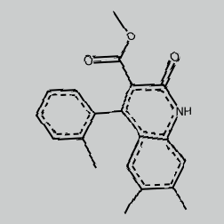 COC(=O)c1c(-c2ccccc2C)c2cc(C)c(C)cc2[nH]c1=O